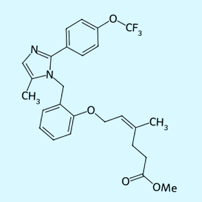 COC(=O)CCC(C)=CCOc1ccccc1Cn1c(C)cnc1-c1ccc(OC(F)(F)F)cc1